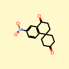 O=C1CCC2(CC1)CCC(=O)c1cc([N+](=O)[O-])ccc12